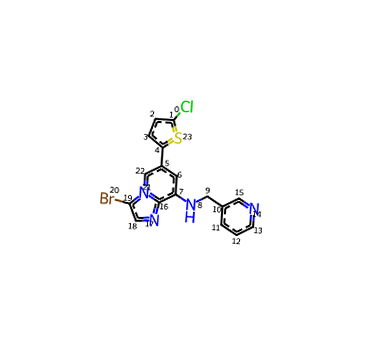 Clc1ccc(-c2cc(NCc3cccnc3)c3ncc(Br)n3c2)s1